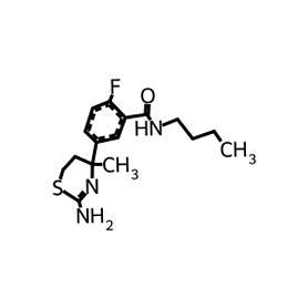 CCCCNC(=O)c1cc(C2(C)CCSC(N)=N2)ccc1F